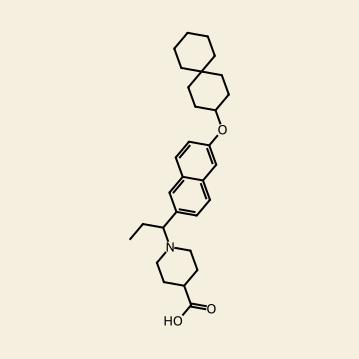 CCC(c1ccc2cc(OC3CCC4(CCCCC4)CC3)ccc2c1)N1CCC(C(=O)O)CC1